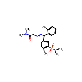 CC(=O)c1ccccc1C(/N=N/CC(=O)N(C)C)c1ccc(C)c(S(=O)(=O)N(C)C)c1